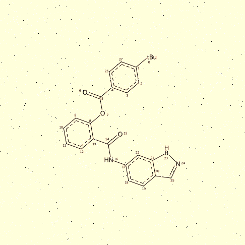 CC(C)(C)c1ccc(C(=O)Oc2ccccc2C(=O)Nc2ccc3c(c2)BN=C3)cc1